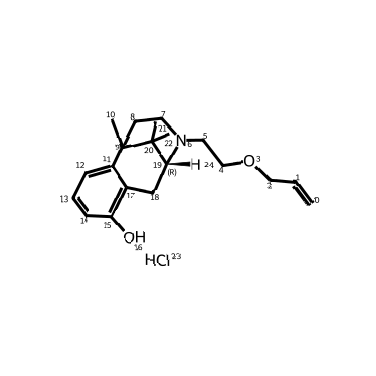 C=CCOCCN1CCC2(C)c3cccc(O)c3C[C@@H]1C2(C)C.Cl